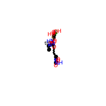 CC(C)(C)C(NC(=O)c1cc2cc(C(F)(F)P(=O)(O)O)ccc2s1)C(=O)N1C[C@H](OCCCCCC#Cc2ccc3c(c2)CN(C2CCC(=O)NC2=O)C3=O)C[C@H]1C(=O)N1CCC[C@H](c2ccccc2)C1